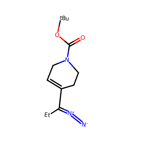 CCC(=[N+]=[N-])C1=CCN(C(=O)OC(C)(C)C)CC1